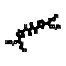 CCON=C(C(=O)OCC)c1csc(NC(=O)C(=O)Nc2nc(C(=NOCC)C(=O)OCC)cs2)n1